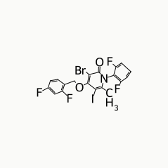 Cc1c(I)c(OCc2ccc(F)cc2F)c(Br)c(=O)n1-c1c(F)cccc1F